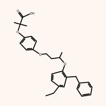 CCc1ccc(OC(C)CCOc2ccc(OC(C)(C)C(=O)O)cc2)c(Cc2ccccc2)c1